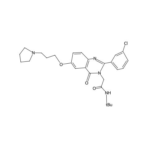 CC(C)(C)NC(=O)Cn1c(-c2cccc(Cl)c2)nc2ccc(OCCCN3CCCC3)cc2c1=O